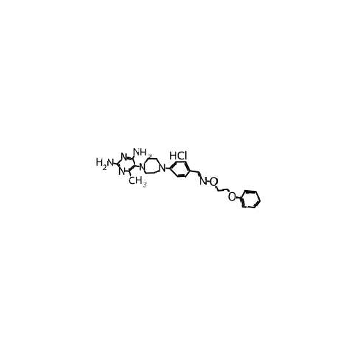 Cc1nc(N)nc(N)c1N1CCN(c2ccc(C=NOCCOc3ccccc3)cc2)CC1.Cl